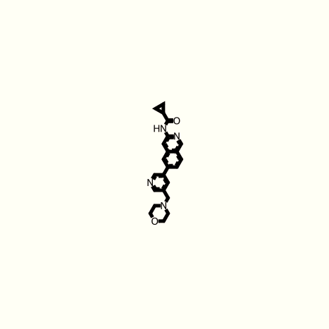 O=C(Nc1cc2cc(-c3cncc(CN4CCOCC4)c3)ccc2cn1)C1CC1